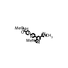 CNc1cnn2cc(-c3cnn(C)c3)cc(-c3ccc(N4CCC(C(=O)NOC)CC4)nc3)c12